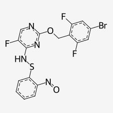 O=Nc1ccccc1SNc1nc(OCc2c(F)cc(Br)cc2F)ncc1F